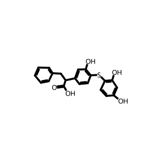 O=C(O)C(Cc1ccccc1)c1ccc(Sc2ccc(O)cc2O)c(O)c1